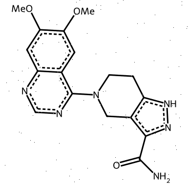 COc1cc2ncnc(N3CCc4[nH]nc(C(N)=O)c4C3)c2cc1OC